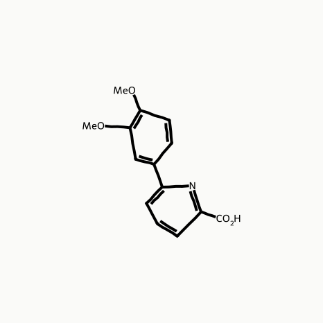 COc1ccc(-c2cccc(C(=O)O)n2)cc1OC